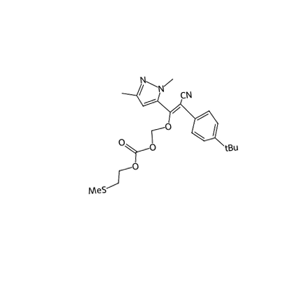 CSCCOC(=O)OCO/C(=C(/C#N)c1ccc(C(C)(C)C)cc1)c1cc(C)nn1C